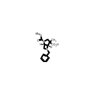 CC(C)(C)OC(=O)N1CC(C)(C(=O)O)[C@H]2[C@@H]1CN2Cc1ccccc1